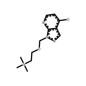 C[Si](C)(C)CCOCn1ncc2c(Cl)ccnc21